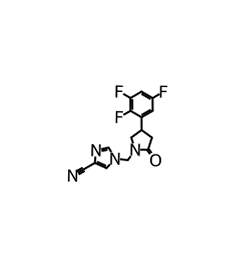 N#Cc1cn(CN2CC(c3cc(F)cc(F)c3F)CC2=O)cn1